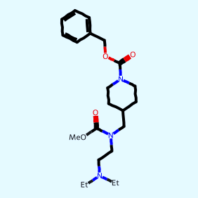 CCN(CC)CCN(CC1CCN(C(=O)OCc2ccccc2)CC1)C(=O)OC